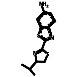 CC(C)C1CSC(c2nc3ccc(N)cc3s2)=N1